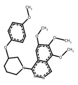 COc1ccc(OC2CCCN(c3nncc4c(OC)c(OC)c(OC)cc34)C2)cc1